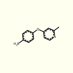 Bc1ccc(Oc2ccnc(C)c2)cc1